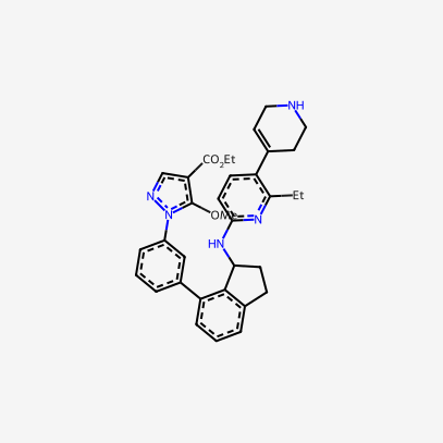 CCOC(=O)c1cnn(-c2cccc(-c3cccc4c3C(Nc3ccc(C5=CCNCC5)c(CC)n3)CC4)c2)c1OC